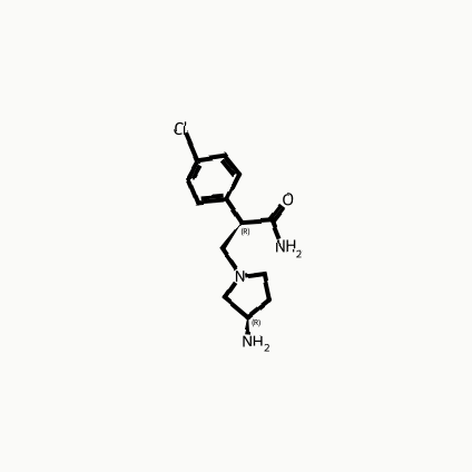 NC(=O)[C@@H](CN1CC[C@@H](N)C1)c1ccc(Cl)cc1